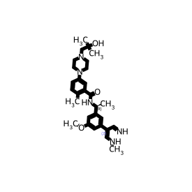 CN/C=C(\C=N)c1cc(OC)cc([C@@H](C)NC(=O)c2cc(N3CCN(CC(C)(C)O)CC3)ccc2C)c1